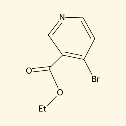 CCOC(=O)c1cnccc1Br